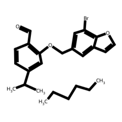 CC(C)c1ccc(C=O)c(OCc2cc(Br)c3occc3c2)c1.CCCCCC